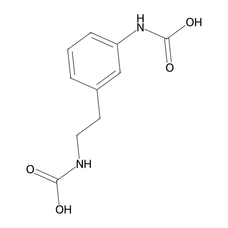 O=C(O)NCCc1cccc(NC(=O)O)c1